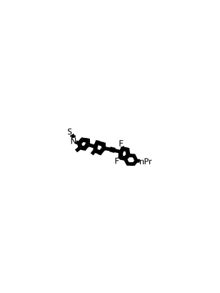 CCCC1CCc2c(cc(F)c(C#Cc3ccc(-c4ccc(N=C=S)c(C)c4)c(C)c3)c2F)C1